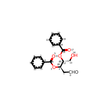 O=CC[C@@H](OC(=O)c1ccccc1)[C@@H](CO)OC(=O)c1ccccc1